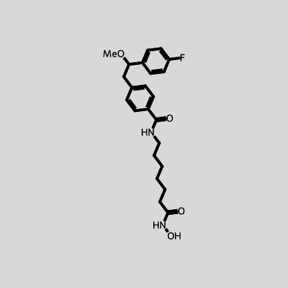 COC(Cc1ccc(C(=O)NCCCCCCC(=O)NO)cc1)c1ccc(F)cc1